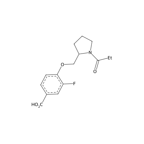 CCC(=O)N1CCCC1COc1ccc(C(=O)O)cc1F